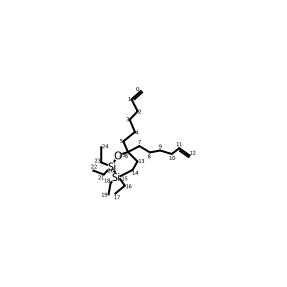 C=CCCCCC1(CCCCC=C)CC[Si](CC)(CC)[Si](CC)(CC)O1